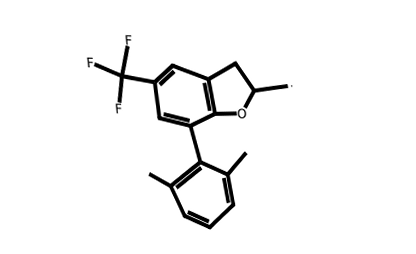 [CH2]C1Cc2cc(C(F)(F)F)cc(-c3c(C)cccc3C)c2O1